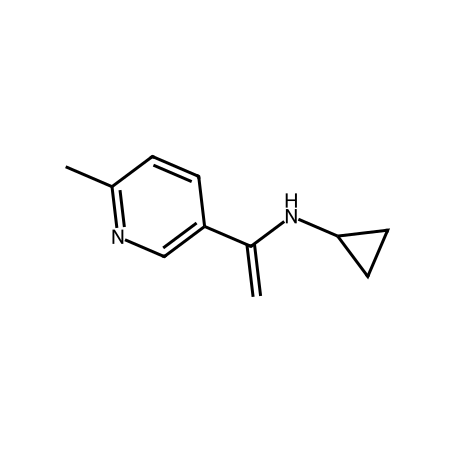 C=C(NC1CC1)c1ccc(C)nc1